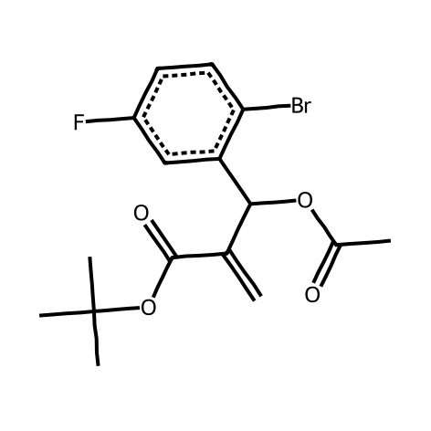 C=C(C(=O)OC(C)(C)C)C(OC(C)=O)c1cc(F)ccc1Br